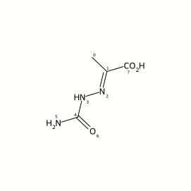 CC(=NNC(N)=O)C(=O)O